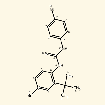 CC(C)(C)c1cc(Br)ccc1NC(=S)Nc1ccc(Br)cc1